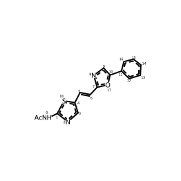 CC(=O)Nc1ncc(/C=C/c2ncc(-c3ccccc3)o2)s1